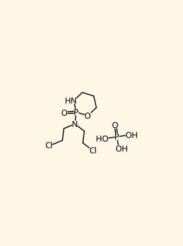 O=P(O)(O)O.O=P1(N(CCCl)CCCl)NCCCO1